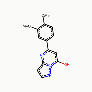 COc1ccc(-c2cc(O)n3nccc3n2)cc1OC